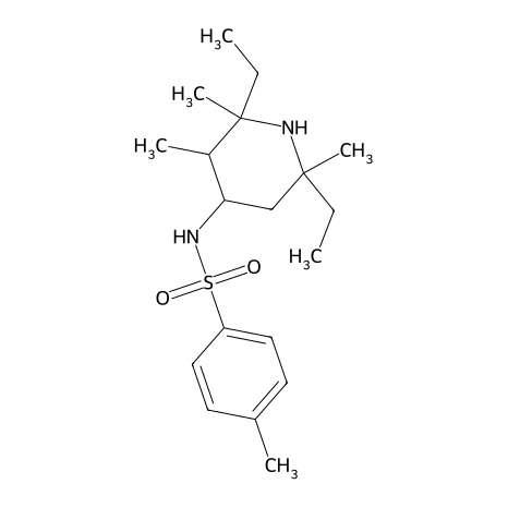 CCC1(C)CC(NS(=O)(=O)c2ccc(C)cc2)C(C)C(C)(CC)N1